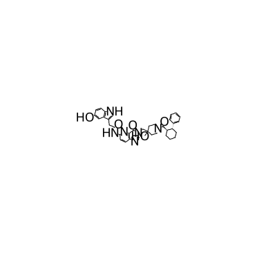 O=C(Cc1c[nH]c2ccc(O)cc12)Nc1ccc2ncn(CC3(O)CCN(C(=O)[C@@H]4CCCC[C@H]4c4ccccc4)CC3)c(=O)c2n1